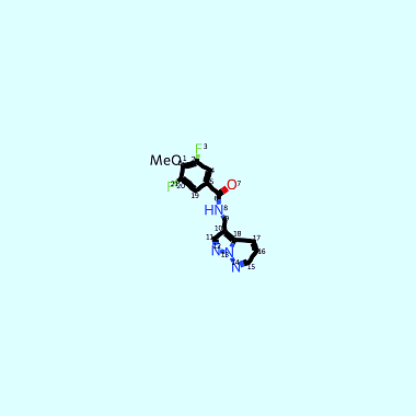 COc1c(F)cc(C(=O)NCc2cnn3ncccc23)cc1F